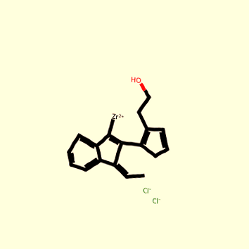 CC=C1C(C2=C(CCO)C=CC2)=[C]([Zr+2])c2ccccc21.[Cl-].[Cl-]